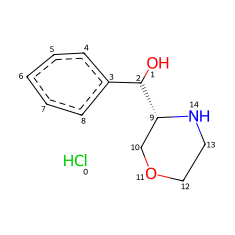 Cl.OC(c1ccccc1)[C@H]1COCCN1